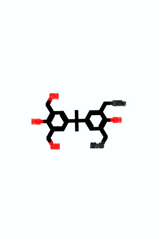 COCc1cc(C(C)(C)c2cc(CO)c(O)c(CO)c2)cc(COC)c1O